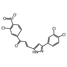 O=C(C=Cc1cc(-c2ccc(Cl)c(Cl)c2)n[nH]1)c1ccc([N+](=O)[O-])c(Cl)c1